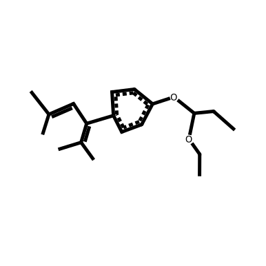 CCOC(CC)Oc1ccc(C(C=C(C)C)=C(C)C)cc1